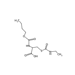 CCCCOC(=O)NC(CSC(=O)NCC)C(=O)O